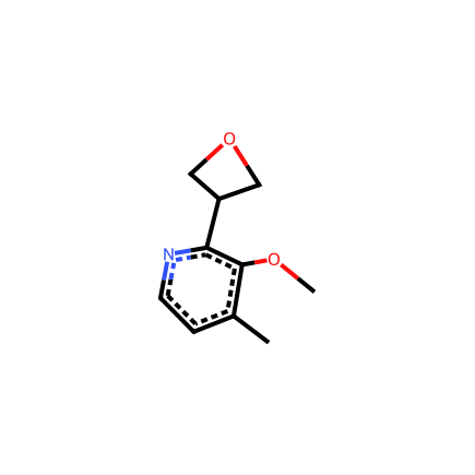 COc1c(C)ccnc1C1COC1